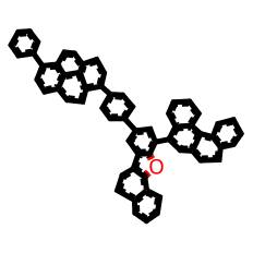 c1ccc(-c2ccc3ccc4c(-c5ccc(-c6cc(-c7cc8ccc9ccccc9c8c8ccccc78)c7oc8c9ccccc9ccc8c7c6)cc5)ccc5ccc2c3c54)cc1